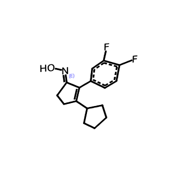 O/N=C1\CCC(C2CCCC2)=C1c1ccc(F)c(F)c1